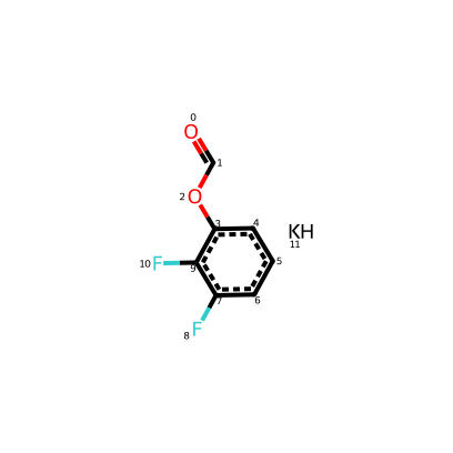 O=COc1cccc(F)c1F.[KH]